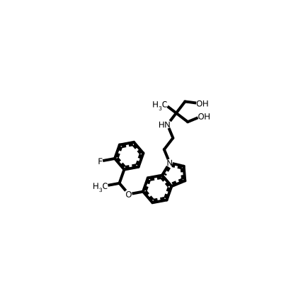 CC(Oc1ccc2ccn(CCNC(C)(CO)CO)c2c1)c1ccccc1F